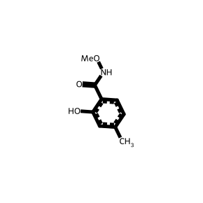 CONC(=O)c1ccc(C)cc1O